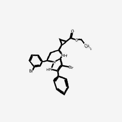 CCOC(=O)C1CC1C1CC(c2cccc(Br)c2)N2NC(c3ccccc3)=C(Br)C2N1